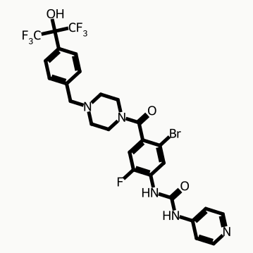 O=C(Nc1ccncc1)Nc1cc(Br)c(C(=O)N2CCN(Cc3ccc(C(O)(C(F)(F)F)C(F)(F)F)cc3)CC2)cc1F